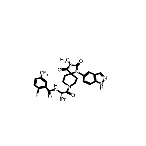 CC(C)[C@H](NC(=O)c1cc(C(F)(F)F)ccc1F)C(=O)N1CCC2(CC1)C(=O)N(C)C(=O)N2c1ccc2[nH]ncc2c1